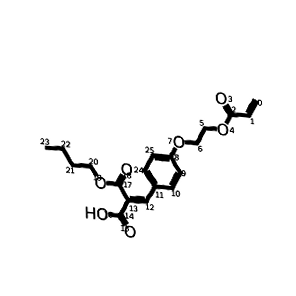 C=CC(=O)OCCOc1ccc(C=C(C(=O)O)C(=O)OCCCC)cc1